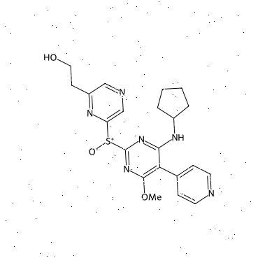 COc1nc([S+]([O-])c2cncc(CCO)n2)nc(NC2CCCC2)c1-c1ccncc1